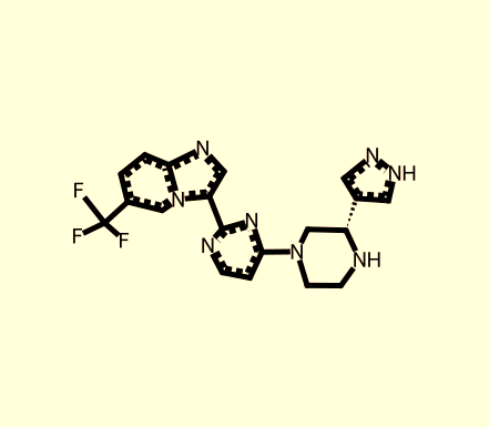 FC(F)(F)c1ccc2ncc(-c3nccc(N4CCN[C@@H](c5cn[nH]c5)C4)n3)n2c1